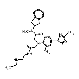 CCNCCNC(=O)CN(CC(=O)N(C)C1Cc2ccccc2C1)c1ccc(-c2noc(C)n2)cc1C